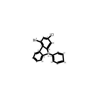 Clc1cc(Br)c2c3ccccc3n(-c3ccccc3)c2c1